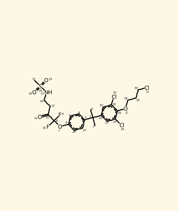 CC(C)(c1ccc(OC(F)(F)C(=O)CCNS(C)(=O)=O)cc1)c1cc(Cl)c(OCCCCl)c(Cl)c1